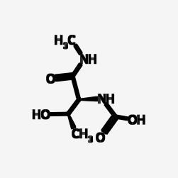 CNC(=O)[C@@H](NC(=O)O)[C@@H](C)O